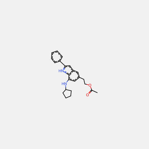 CC(=O)OCCc1cc(NC2CCCC2)c2[nH]c(-c3ccccc3)cc2c1